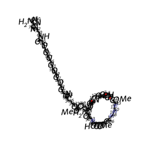 CO[C@H]1C[C@@H]2CC[C@@H](C)[C@@](O)(O2)C(=O)C(=O)N2CCCC[C@H]2C(=O)O[C@H]([C@H](N)C[C@@H]2CC[C@@H](OCCCCc3cn(CCOCCOCCOCCOCCOCCOCCOCCOCCC(=O)NCCCCn4ncc5c(N)ncnc54)nn3)[C@H](OC)C2)CC(=O)[C@H](C)/C=C(\C)[C@@H](O)[C@@H](OC)C(=O)[C@H](C)C[C@H](C)/C=C/C=C/C=C/1C